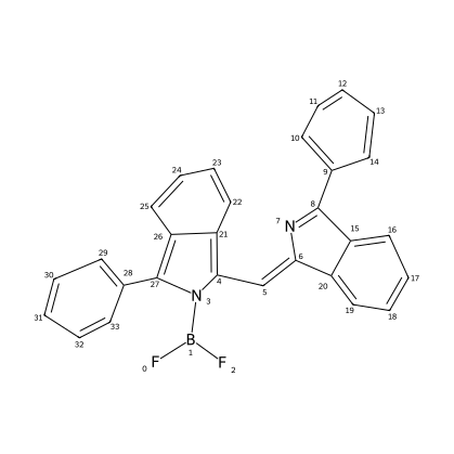 FB(F)n1c(/C=C2\N=C(c3ccccc3)c3ccccc32)c2ccccc2c1-c1ccccc1